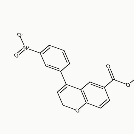 COC(=O)c1ccc2c(c1)C(c1cccc([N+](=O)[O-])c1)=CCO2